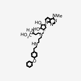 CNc1ncnc2c1ccn2[C@@H]1C[C@H](CN(CCCNCCc2ccc(Oc3ccccc3)cc2)CC[C@H](N)C(=O)O)[C@@H](O)[C@H]1O